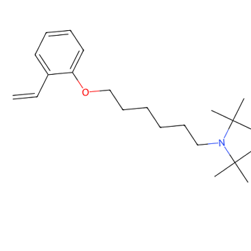 C=Cc1ccccc1OCCCCCCN(C(C)(C)C)C(C)(C)C